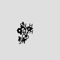 Cc1cccc(-c2sc(C)nc2C(=O)N2C[C@@H]3C[C@@H]3[C@H]2CNC(=O)Oc2c(C)nc3scc(C)n23)c1